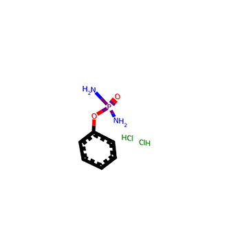 Cl.Cl.NP(N)(=O)Oc1ccccc1